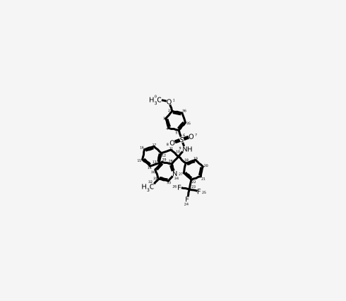 COc1ccc(S(=O)(=O)NC(Cc2ccccc2)(c2cccc(C(F)(F)F)c2)c2ccc(C)cn2)cc1